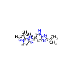 CC(C)c1nc2n(n1)NCC(c1nc3n(n1)C(C(C)(C)C)NCC3)C2